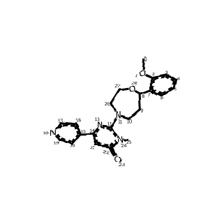 COc1ccccc1C1CCN(c2nc(-c3ccncc3)cc(=O)n2C)CCO1